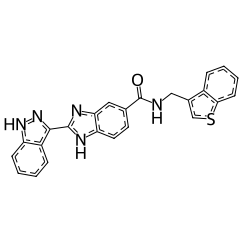 O=C(NCc1csc2ccccc12)c1ccc2[nH]c(-c3n[nH]c4ccccc34)nc2c1